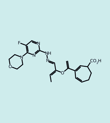 C=C(OC(=C\C)/C=N/Nc1ncc(F)c(N2CCOCC2)n1)C1=CC(C(=O)O)CCC=C1